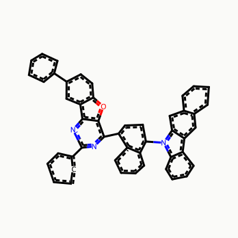 c1ccc(-c2ccc3oc4c(-c5ccc(-n6c7ccccc7c7cc8ccccc8cc76)c6ccccc56)nc(-c5ccccc5)nc4c3c2)cc1